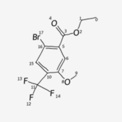 CCOC(=O)c1cc(OC)c(C(F)(F)F)cc1Br